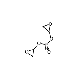 O=[PH](OC1CO1)OC1CO1